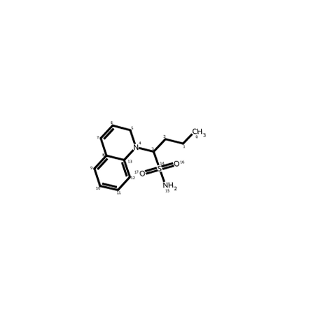 CCCC(N1CC=Cc2ccccc21)S(N)(=O)=O